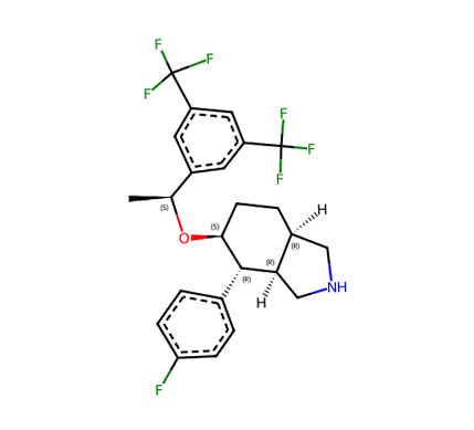 C[C@H](O[C@H]1CC[C@H]2CNC[C@H]2[C@@H]1c1ccc(F)cc1)c1cc(C(F)(F)F)cc(C(F)(F)F)c1